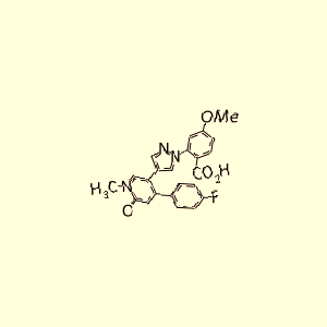 COc1ccc(C(=O)O)c(-n2cc(-c3cn(C)c(=O)cc3-c3ccc(F)cc3)cn2)c1